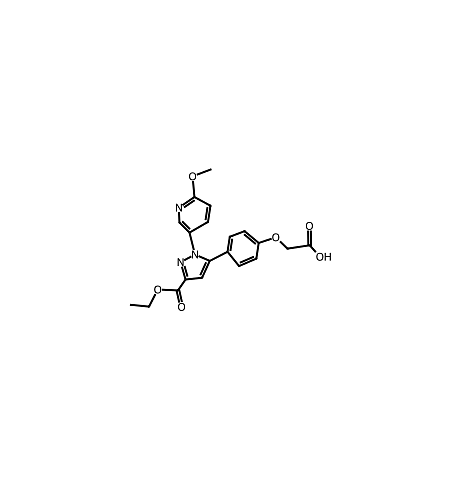 CCOC(=O)c1cc(-c2ccc(OCC(=O)O)cc2)n(-c2ccc(OC)nc2)n1